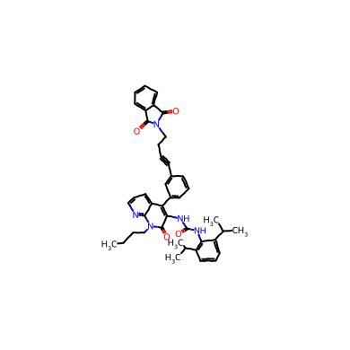 CCCCn1c(=O)c(NC(=O)Nc2c(C(C)C)cccc2C(C)C)c(-c2cccc(C#CCCN3C(=O)c4ccccc4C3=O)c2)c2cccnc21